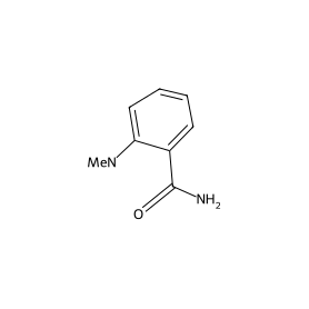 [CH2+][N-]c1ccccc1C(N)=O